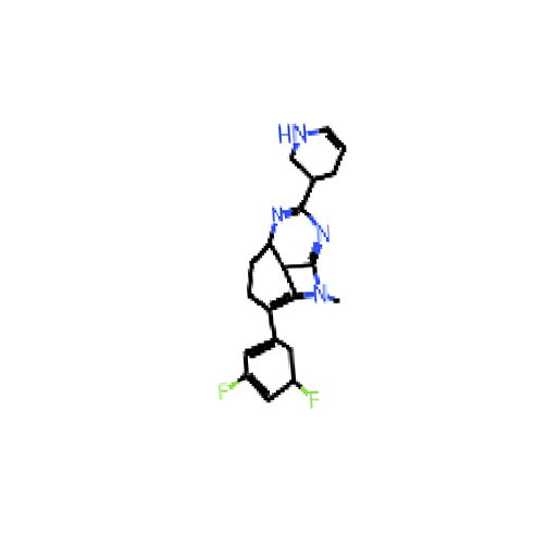 CN1C2=NC(C3CC=CNC3)=NC3CCC(C4=CC(F)=CC(F)C4)=C1C23